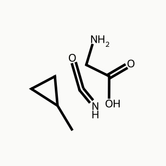 CC1CC1.N=C=O.NCC(=O)O